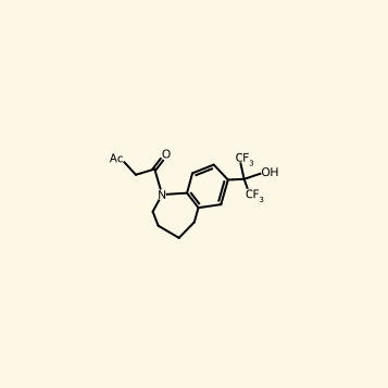 CC(=O)CC(=O)N1CCCCc2cc(C(O)(C(F)(F)F)C(F)(F)F)ccc21